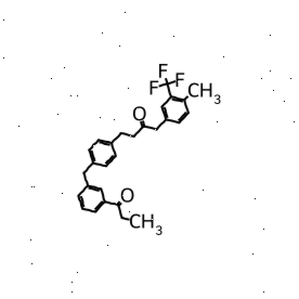 CCC(=O)c1cccc(Cc2ccc(CCC(=O)Cc3ccc(C)c(C(F)(F)F)c3)cc2)c1